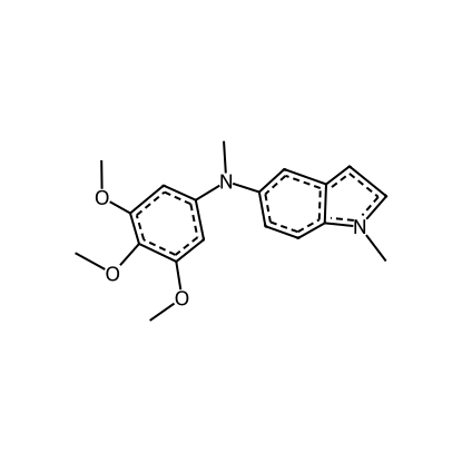 COc1cc(N(C)c2ccc3c(ccn3C)c2)cc(OC)c1OC